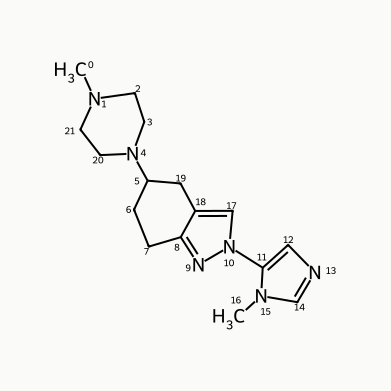 CN1CCN(C2CCc3nn(-c4cncn4C)cc3C2)CC1